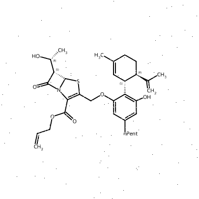 C=CCOC(=O)C1=C(COc2cc(CCCCC)cc(O)c2[C@@H]2C=C(C)CC[C@H]2C(=C)C)SC2[C@@H]([C@@H](C)O)C(=O)N12